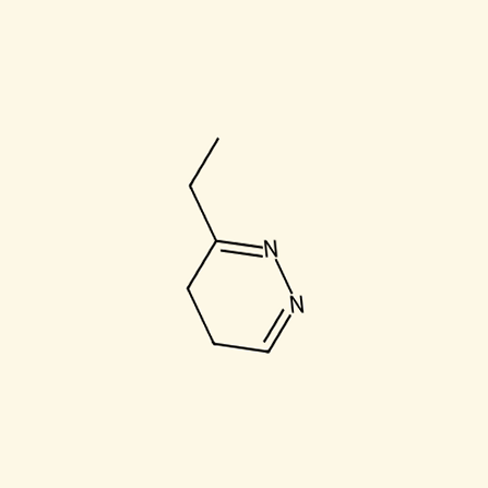 CCC1=NN=CCC1